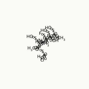 CCOC(=O)N1CCN(c2ccccc2CNCC(=O)CCCSc2ccc(O)cc2)CC1.CN(C)CCOc1ccccc1CN(C)C(=O)CCCSc1ccc(F)cc1.CN(Cc1cccc(Cl)c1Cl)C(=O)CCCSc1ccc(F)cc1.CN(Cc1ccccc1C(=O)O)C(=O)CCCSc1ccc(O)cc1.COC(=O)c1ccccc1CN(C)C(=O)CCCSc1ccc(O)cc1